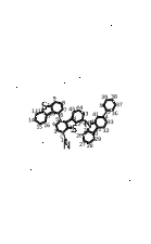 N#Cc1ccc(-c2cccc3sc4ccccc4c23)c2c1sc1c(-n3c4ccccc4c4ccc(-c5ccccc5)cc43)cccc12